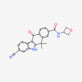 CC1(C)c2cc(C(=O)NC3COC3)ccc2C(=O)c2c1[nH]c1cc(C#N)ccc21